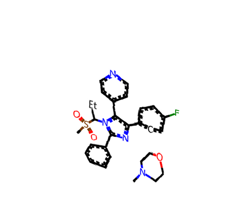 CCC(n1c(-c2ccccc2)nc(-c2ccc(F)cc2)c1-c1ccncc1)S(C)(=O)=O.CN1CCOCC1